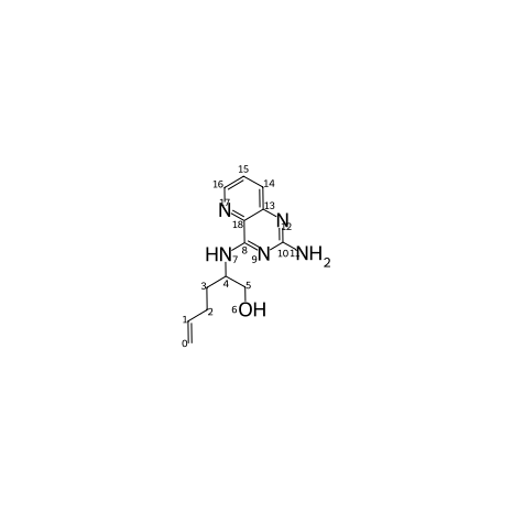 C=CCCC(CO)Nc1nc(N)nc2cccnc12